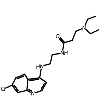 CCN(CC)CCC(=O)NCCNc1ccnc2cc(Cl)ccc12